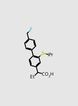 CCC(C(=O)O)c1ccc(-c2ccc(CF)cc2)c(SC(C)C)c1